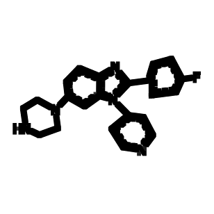 Fc1ccc(-c2nc3ccc(N4CCNCC4)cc3n2-c2ccncc2)cc1